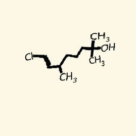 CC(/C=C/Cl)CCCC(C)(C)O